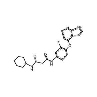 O=C(CC(=O)NC1CCCCC1)Nc1ccc(Oc2ccnc3[nH]ccc23)c(F)c1